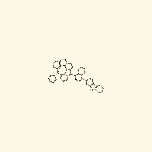 c1ccc(C23c4ccccc4-c4ccc5c(c42)c2c4c3cccc4ccc2n5-c2ccc(-c3ccc4c(c3)oc3ccccc34)c3ccccc23)cc1